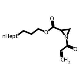 C=CC(=O)N1CC1C(=O)OCCCCCCCCCC